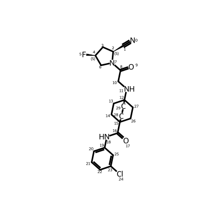 N#C[C@@H]1C[C@H](F)CN1C(=O)CNC12CCC(C(=O)Nc3cccc(Cl)c3)(CC1)CC2